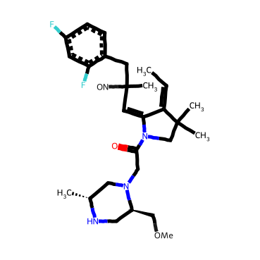 C/C=C1\C(=C/C(C)(Cc2ccc(F)cc2F)N=O)N(C(=O)CN2C[C@@H](C)NC[C@@H]2COC)CC1(C)C